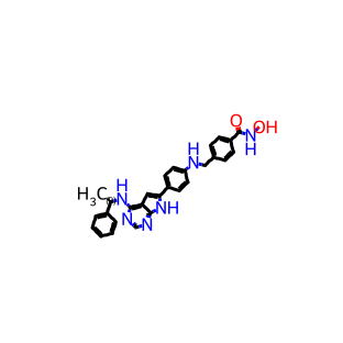 C[C@@H](Nc1ncnc2[nH]c(-c3ccc(NCc4ccc(C(=O)NO)cc4)cc3)cc12)c1ccccc1